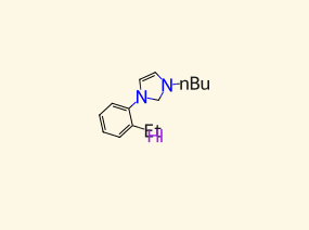 CCCCN1C=CN(c2ccccc2CC)C1.I